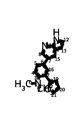 CN(C)c1ccc(-c2cnc3[nH]ccc3c2)cc1-c1ccco1